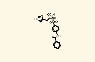 O=C(Nc1ccc(S(=O)(=O)N[C@H](Cc2c[nH]cn2)C(=O)O)cc1)c1ccccc1